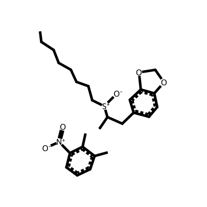 CCCCCCCC[S+]([O-])C(C)Cc1ccc2c(c1)OCO2.Cc1cccc([N+](=O)[O-])c1C